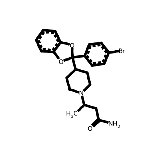 CC(CC(N)=O)N1CCC(C2(c3ccc(Br)cc3)Oc3ccccc3O2)CC1